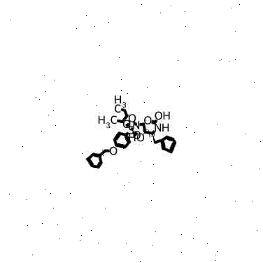 CCC(CC)ON(C[C@H](O)[C@H](Cc1ccccc1)NC(=O)O)S(=O)(=O)c1ccc(OCc2ccccc2)cc1